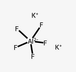 [F][Al-2]([F])([F])([F])[F].[K+].[K+]